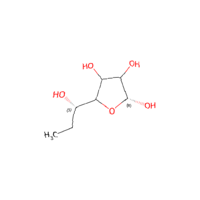 CC[C@H](O)C1O[C@@H](O)C(O)C1O